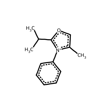 Cc1coc(C(C)C)[n+]1-c1ccccc1